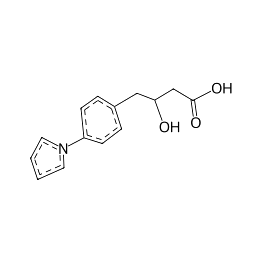 O=C(O)CC(O)Cc1ccc(-n2cccc2)cc1